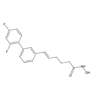 O=C(CCCC=Cc1cccc(-c2ccc(F)cc2F)c1)NO